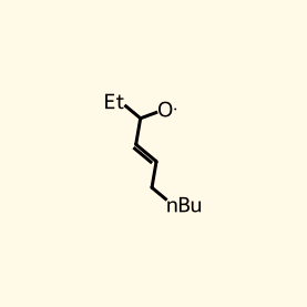 CCCCCC=CC([O])CC